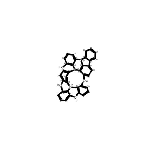 c1cc2c3c(c1)Oc1cccc4c1B3c1cc3c(cc1O2)Sc1cccc2c1B3c1c(ccc3c5ccccc5n-2c13)O4